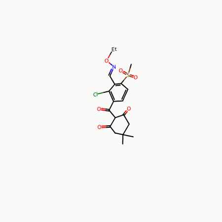 CCON=Cc1c(S(C)(=O)=O)ccc(C(=O)C2C(=O)CC(C)(C)CC2=O)c1Cl